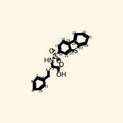 O=C(O)[C@H](CCc1ccccc1)NS(=O)(=O)c1ccc2c(c1)sc1ccccc12